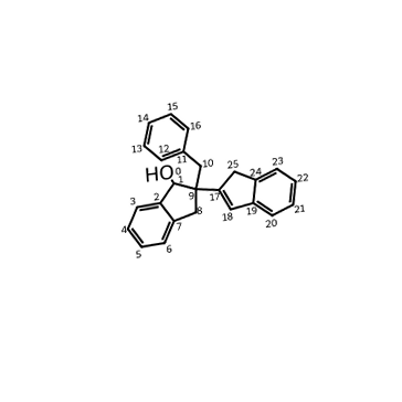 OC1c2ccccc2CC1(Cc1ccccc1)C1=Cc2ccccc2C1